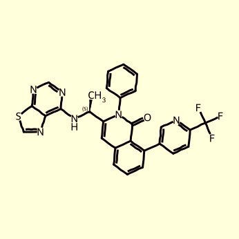 C[C@H](Nc1ncnc2scnc12)c1cc2cccc(-c3ccc(C(F)(F)F)nc3)c2c(=O)n1-c1ccccc1